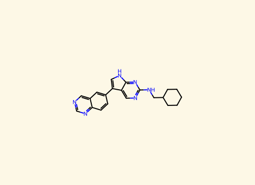 c1ncc2cc(-c3c[nH]c4nc(NCC5CCCCC5)ncc34)ccc2n1